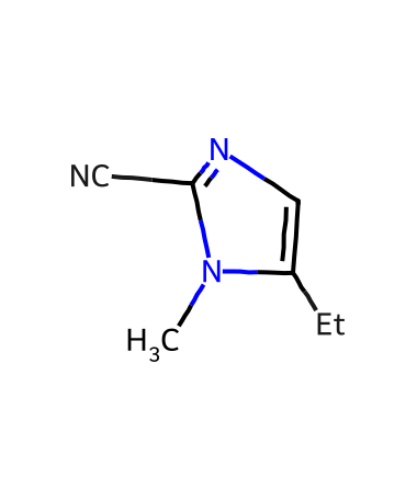 CCc1cnc(C#N)n1C